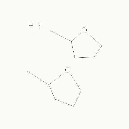 CC1CCCO1.CC1CCCO1.S